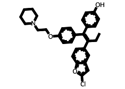 CC/C(=C(\c1ccc(O)cc1)c1ccc(OCCN2CCCCC2)cc1)c1ccc2oc(Cl)cc2c1